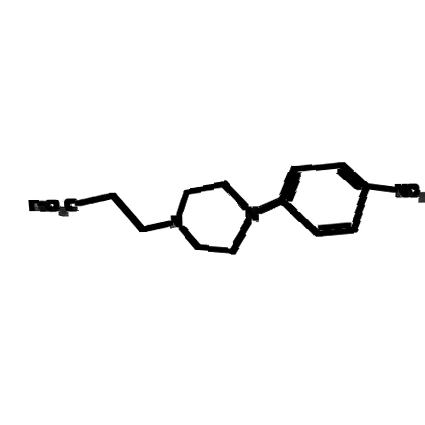 CCOC(=O)CCN1CCN(c2ccc([N+](=O)[O-])cc2)CC1